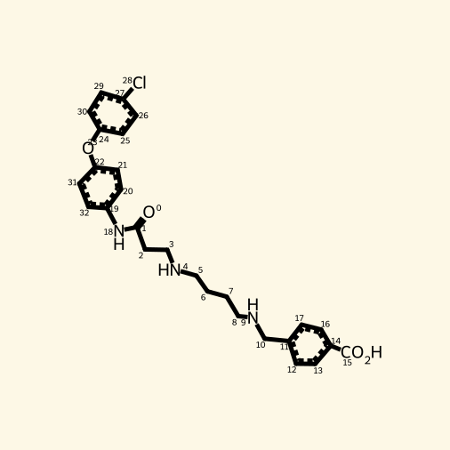 O=C(CCNCCCCNCc1ccc(C(=O)O)cc1)Nc1ccc(Oc2ccc(Cl)cc2)cc1